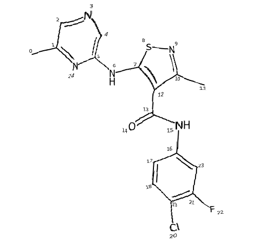 Cc1cncc(Nc2snc(C)c2C(=O)Nc2ccc(Cl)c(F)c2)n1